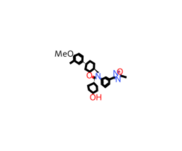 COc1ccc([C@H]2CC[C@H](CN(c3cccc(-c4noc(C)n4)c3)C(=O)[C@H]3CC[C@H](O)CC3)CC2)cc1C